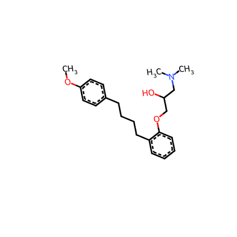 COc1ccc(CCCCc2ccccc2OCC(O)CN(C)C)cc1